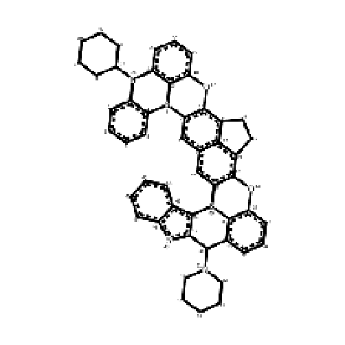 c1ccc2c(c1)B1c3cc4cc5c(c6c4c(c3Oc3cccc(c31)N2C1CCCCC1)CC6)Oc1cccc2c1B5c1c(sc3ccccc13)C2N1CCCCC1